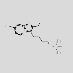 CC(C)[Si](OCCCCc1c(CO)nc2cc(Cl)ccn12)(C(C)C)C(C)C